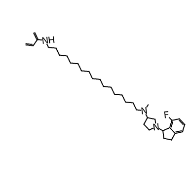 C=CC(=C)NCCCCCCCCCCCCCCCCCN(C)C1CCN(C2CCc3cccc(F)c32)C1